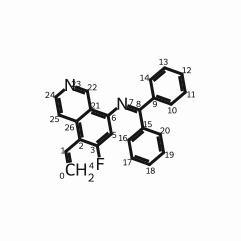 C=Cc1c(F)cc(N=C(c2ccccc2)c2ccccc2)c2cnccc12